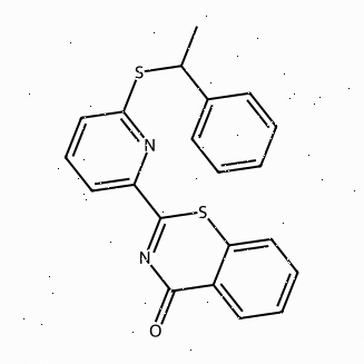 CC(Sc1cccc(-c2nc(=O)c3ccccc3s2)n1)c1ccccc1